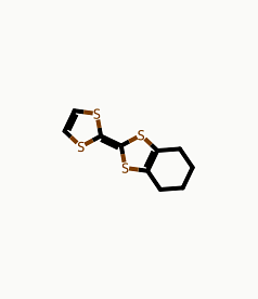 C1=CSC(=C2SC3=C(CCCC3)S2)S1